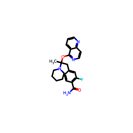 CC(Cc1ccc(C(N)=O)c(F)c1)(Oc1nccc2ncccc12)N1CCCCC1